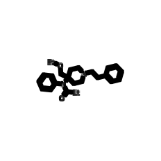 CCOCC1(N(C(=O)CC)c2ccccc2)CCN(CCc2ccccc2)CC1